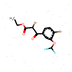 CCOC(=O)C(Br)C(=O)c1ccc(Br)c(OC(F)F)c1